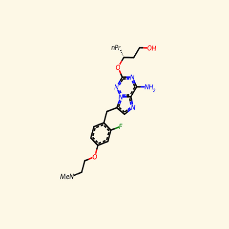 CCC[C@H](CCO)Oc1nc(N)c2ncc(Cc3ccc(OCCNC)cc3F)n2n1